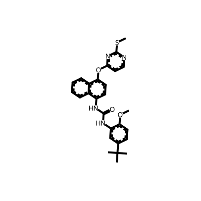 COc1ccc(C(C)(C)C)cc1NC(=O)Nc1ccc(Oc2ccnc(SC)n2)c2ccccc12